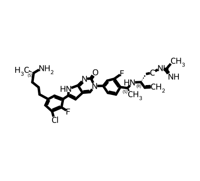 C=C[C@@H](CCNC(C)=N)N[C@@H](C)c1ccc(-n2cc3cc(-c4cc(CCC[C@H](C)N)cc(Cl)c4F)[nH]c3nc2=O)cc1F